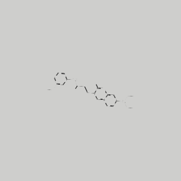 CCN(CC)c1ccc2cc(/C=C/C(=O)Nc3cccc(OC)c3)c(=O)oc2c1